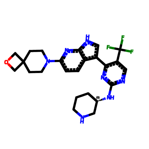 FC(F)(F)c1cnc(N[C@H]2CCCNC2)nc1-c1c[nH]c2nc(N3CCC4(CC3)COC4)ccc12